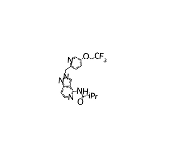 CC(C)C(=O)Nc1nccc2nn(Cc3ccc(OCC(F)(F)F)cn3)cc12